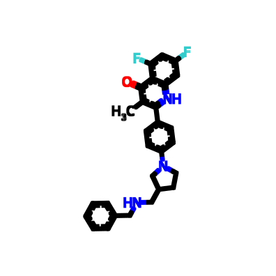 Cc1c(-c2ccc(N3CCC(CNCc4ccccc4)C3)cc2)[nH]c2cc(F)cc(F)c2c1=O